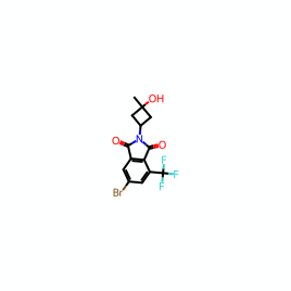 CC1(O)CC(N2C(=O)c3cc(Br)cc(C(F)(F)F)c3C2=O)C1